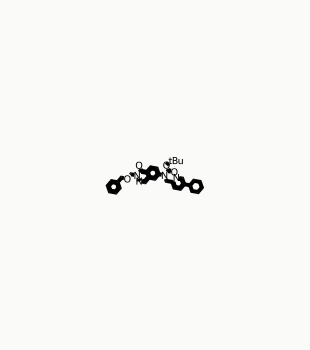 CC(C)(C)OC(=O)N(Cc1ccc(C2CCCCC2)cn1)c1ccc2c(=O)n(COCc3ccccc3)ncc2c1